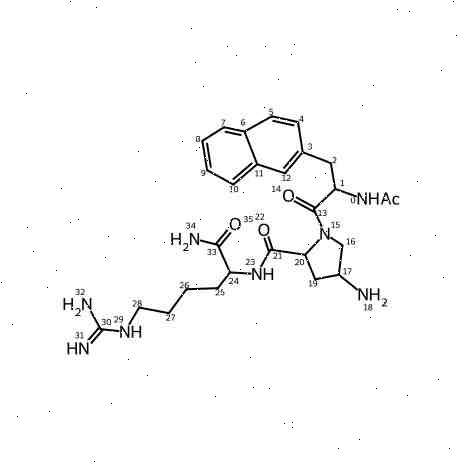 CC(=O)NC(Cc1ccc2ccccc2c1)C(=O)N1CC(N)CC1C(=O)NC(CCCCNC(=N)N)C(N)=O